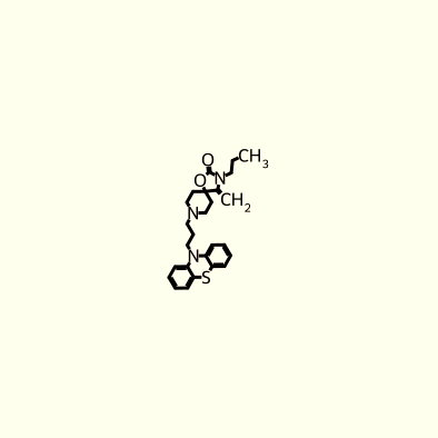 C=C1N(CCC)C(=O)OC12CCN(CCCN1c3ccccc3Sc3ccccc31)CC2